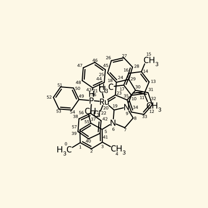 Cc1cc(C)c(N2CCN(c3c(C)cc(C)cc3C)[CH]2[Ru]([Cl])([Cl])(=[C]2c3ccccc3-c3ccccc32)[PH](c2ccccc2)(c2ccccc2)c2ccccc2)c(C)c1